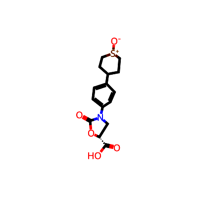 O=C(O)[C@H]1CN(c2ccc(C3CC[S+]([O-])CC3)cc2)C(=O)O1